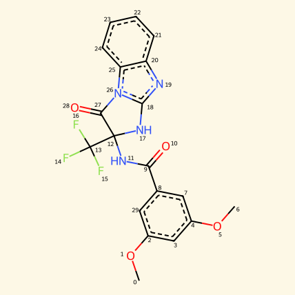 COc1cc(OC)cc(C(=O)NC2(C(F)(F)F)Nc3nc4ccccc4n3C2=O)c1